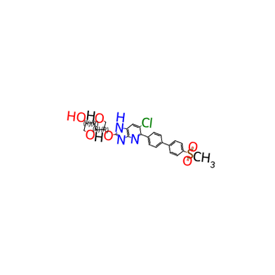 CS(=O)(=O)c1ccc(-c2ccc(-c3nc4nc(O[C@@H]5CO[C@H]6[C@@H]5OC[C@H]6O)[nH]c4cc3Cl)cc2)cc1